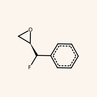 FC(c1ccccc1)[C@H]1CO1